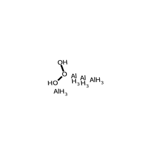 OOO.[AlH3].[AlH3].[AlH3].[AlH3]